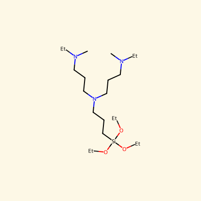 CCO[Si](CCCN(CCCN(C)CC)CCCN(C)CC)(OCC)OCC